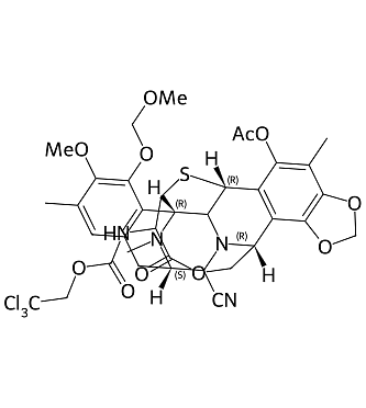 COCOc1c(OC)c(C)cc2c1[C@@H]1C3[C@@H]4SCC(NC(=O)OCC(Cl)(Cl)Cl)C(=O)OC[C@@H](c5c6c(c(C)c(OC(C)=O)c54)OCO6)N3C(C#N)[C@H](C2)N1C